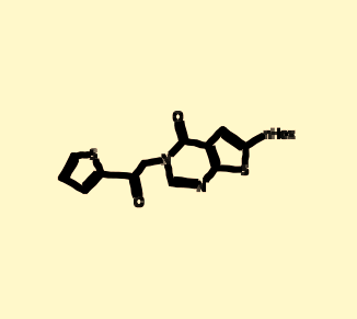 CCCCCCc1cc2c(=O)n(CC(=O)c3cccs3)cnc2s1